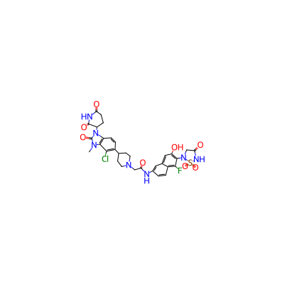 Cn1c(=O)n(C2CCC(=O)NC2=O)c2ccc(C3CCN(CC(=O)Nc4ccc5c(F)c(N6CC(=O)NS6(=O)=O)c(O)cc5c4)CC3)c(Cl)c21